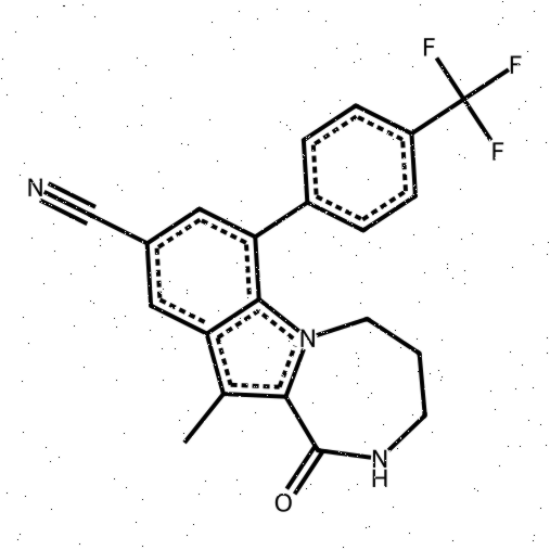 Cc1c2n(c3c(-c4ccc(C(F)(F)F)cc4)cc(C#N)cc13)CCCNC2=O